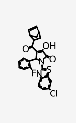 O=C(C1=C(O)C(=O)N(c2nc3ccc(Cl)cc3s2)C1c1ccccc1F)C1CC2C=CC1C2